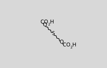 O=C(O)COCCCCCSCCCCCOCC(=O)O